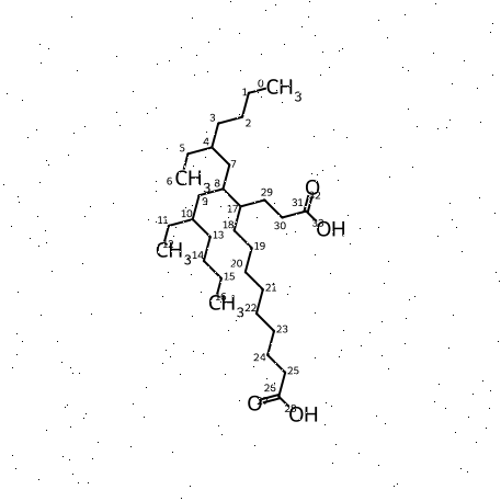 CCCCC(CC)CC(CC(CC)CCCC)C(CCCCCCCCC(=O)O)CCC(=O)O